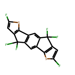 Fc1cc2c(s1)-c1cc3c(cc1C2(F)F)-c1sc(F)cc1C3(F)F